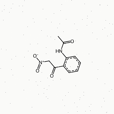 CC(=O)Nc1ccccc1C(=O)C[N+](=O)[O-]